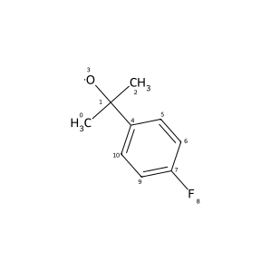 CC(C)([O])c1ccc(F)cc1